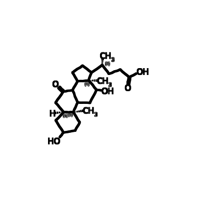 C[C@H](CCC(=O)O)C1CCC2C3C(=O)C[C@@H]4CC(O)CC[C@]4(C)C3CC(O)[C@@]21C